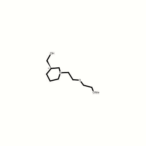 COCCOCCN1CCC[C@@H](CO)C1